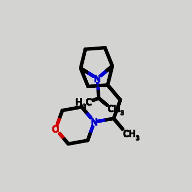 CC(CC1CC2CCC1N2C(C)C)N1CCOCC1